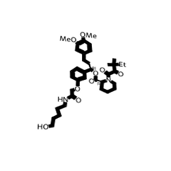 CCC(C)(C)C(=O)C(=O)N1CCCC[C@H]1C(=O)O[C@H](CCc1ccc(OC)c(OC)c1)c1cccc(OCC(=O)NCCCCCO)c1